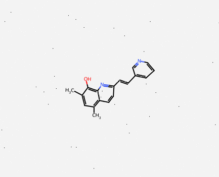 Cc1cc(C)c2ccc(C=Cc3cccnc3)nc2c1O